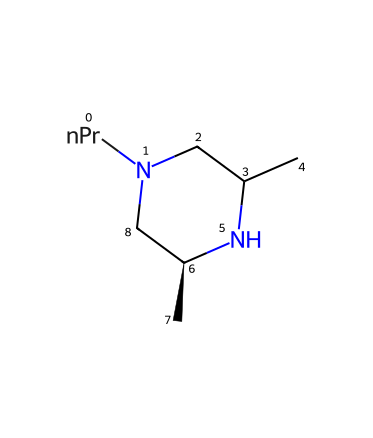 [CH2]CCN1CC(C)N[C@@H](C)C1